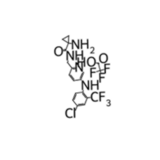 NC1(C(=O)NCc2ccc(Nc3ccc(Cl)cc3C(F)(F)F)cn2)CC1.O=C(O)C(F)(F)F